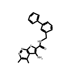 Cc1nnc2sc(C(=O)NCc3cccc(-c4ccccc4)c3)c(N)c2c1C